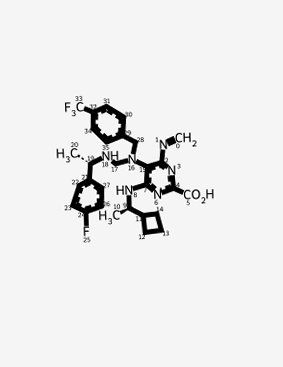 C=Nc1nc(C(=O)O)nc(N[C@H](C)C2CCC2)c1N(CN[C@@H](C)c1ccc(F)cc1)Cc1ccc(C(F)(F)F)cc1